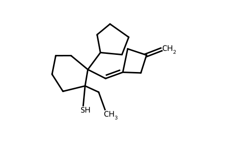 C=C1CC(=CC2(C3CCCC3)CCCCC2(S)CC)C1